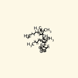 CCCC[n+]1ccn(C)c1C.CCCC[n+]1ccn(C)c1C.O=S(=O)([O-])C(F)(F)C(F)F.[Cl-]